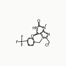 Cn1c(=O)[nH]c(=O)c2c1nc(CCl)n2Cc1ccc(C(F)(F)F)cc1